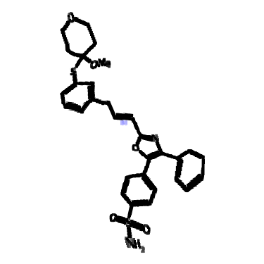 COC1(Sc2cccc(C/C=C/c3nc(-c4ccccc4)c(-c4ccc(S(N)(=O)=O)cc4)o3)c2)CCOCC1